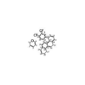 C1=CCOC=C1.FC(F)(F)c1cc(C2C=CC=C3CC=c4c5c(ccc4=C32)C=CCC5)ccc1Cl